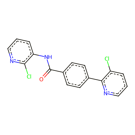 O=C(Nc1cccnc1Cl)c1ccc(-c2ncccc2Cl)cc1